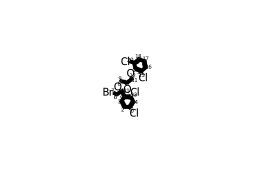 Clc1ccc(C2(CBr)OCC(COc3c(Cl)cccc3Cl)O2)c(Cl)c1